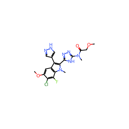 COCC(=O)N(C)c1nnc(-c2c(-c3cn[nH]c3)c3cc(OC)c(Cl)c(F)c3n2C)[nH]1